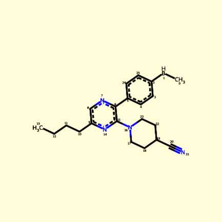 CBc1ccc(-c2ncc(CCCC)nc2N2CCC(C#N)CC2)cc1